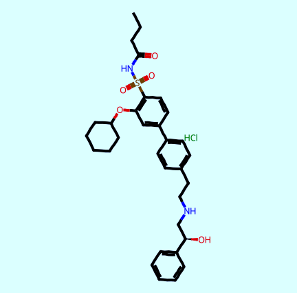 CCCC(=O)NS(=O)(=O)c1ccc(-c2ccc(CCNC[C@@H](O)c3ccccc3)cc2)cc1OC1CCCCC1.Cl